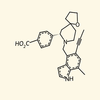 CC#Cc1cc(C)c2[nH]ccc2c1CN1CCC2(CCCO2)C[C@H]1c1ccc(C(=O)O)cc1